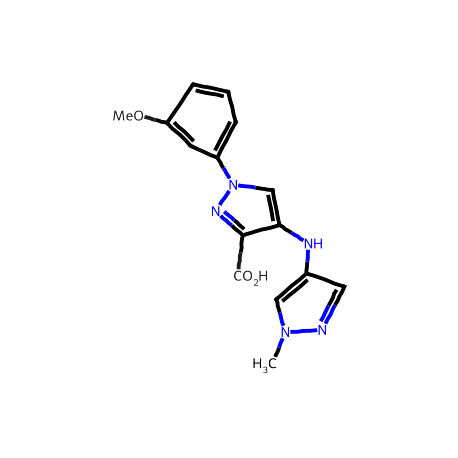 COc1cccc(-n2cc(Nc3cnn(C)c3)c(C(=O)O)n2)c1